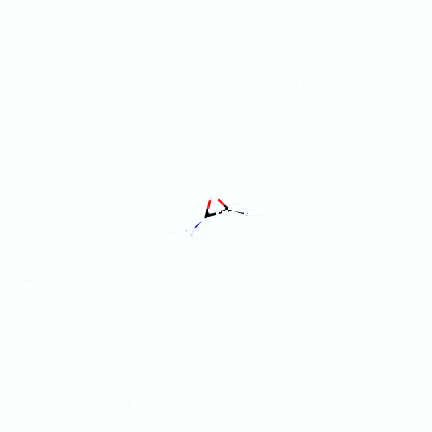 CC[C@@H]1O[C@@H]1N